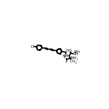 CC(N)(C(F)F)[C@H](NC(=O)c1ccc(C#CC#Cc2ccc(Cl)cc2)cc1)C(=O)NO